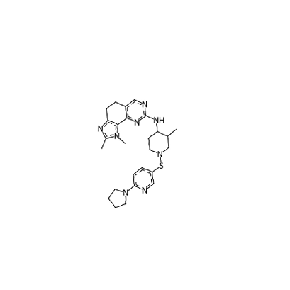 Cc1nc2c(n1C)-c1nc(NC3CCN(Sc4ccc(N5CCCC5)nc4)CC3C)ncc1CC2